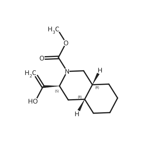 C=C(O)[C@@H]1C[C@H]2CCCC[C@H]2CN1C(=O)OC